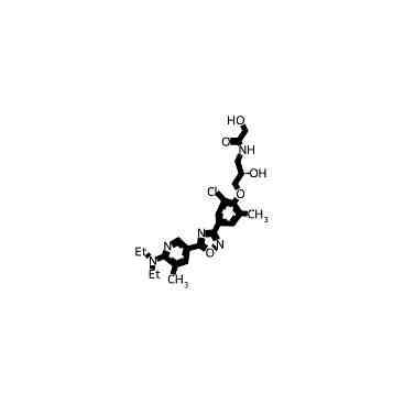 CCN(CC)c1ncc(-c2nc(-c3cc(C)c(OC[C@@H](O)CNC(=O)CO)c(Cl)c3)no2)cc1C